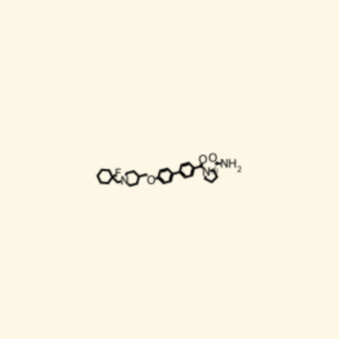 NC(=O)[C@@H]1CCCN1C(=O)c1ccc(-c2ccc(OCC3CCN(CC4(F)CCCCC4)CC3)cc2)cc1